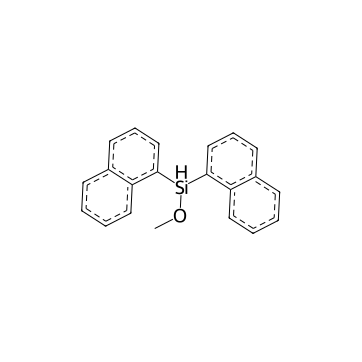 CO[SiH](c1cccc2ccccc12)c1cccc2ccccc12